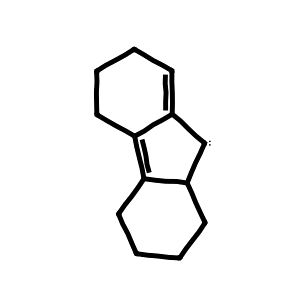 [C]1C2=CCCCC2=C2CCCCC12